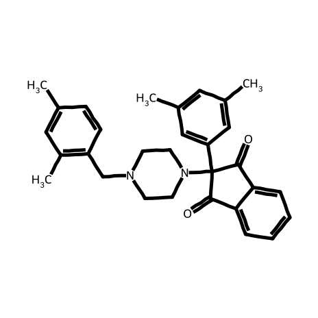 Cc1cc(C)cc(C2(N3CCN(Cc4ccc(C)cc4C)CC3)C(=O)c3ccccc3C2=O)c1